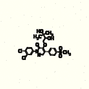 CC(C)(O)[C@@H](O)COc1c(-c2ccc(S(C)(=O)=O)cc2)cnn(-c2ccc(Cl)c(Cl)c2)c1=O